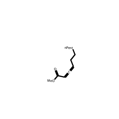 CCCCCCCC=C=CC(=O)OC